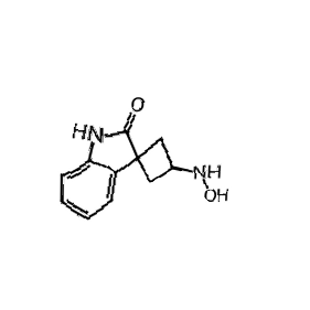 O=C1Nc2ccccc2C12CC(NO)C2